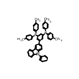 Cc1ccc(N(c2ccc(C)cc2)c2cc(-c3ccc4c(c3)c3ccccc3n4-c3ccccc3)cc(N(c3ccc(C)cc3)c3ccc(C)cc3)c2)cc1